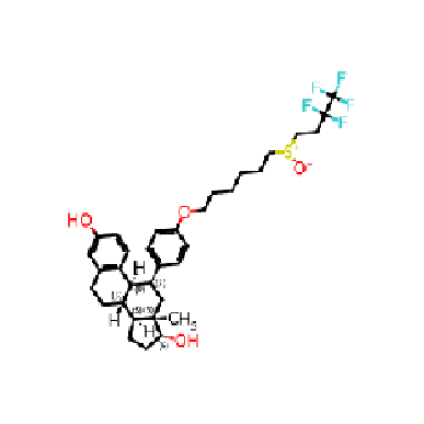 C[C@]12C[C@H](c3ccc(OCCCCCC[S+]([O-])CCC(F)(F)C(F)(F)F)cc3)[C@@H]3c4ccc(O)cc4CC[C@H]3[C@@H]1CC[C@@H]2O